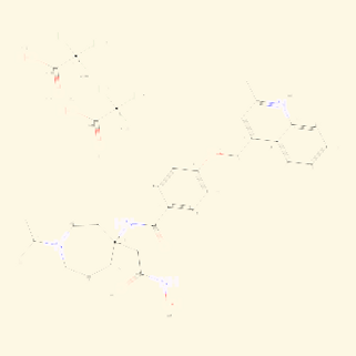 Cc1cc(COc2ccc(C(=O)NC3(CC(=O)NO)CCCN(C(C)C)CC3)cc2)c2ccccc2n1.O=C(O)C(F)(F)F.O=C(O)C(F)(F)F